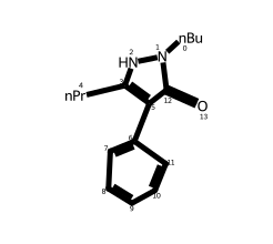 CCCCn1[nH]c(CCC)c(-c2ccccc2)c1=O